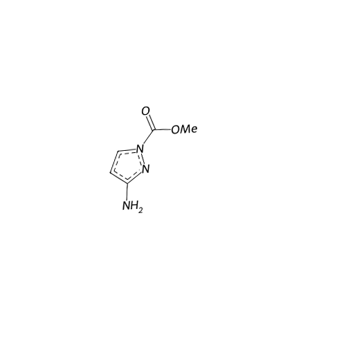 COC(=O)n1ccc(N)n1